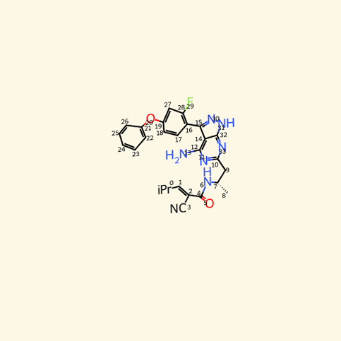 CC(C)C=C(C#N)C(=O)N[C@@H](C)Cc1nc(N)c2c(-c3ccc(Oc4ccccc4)cc3F)n[nH]c2n1